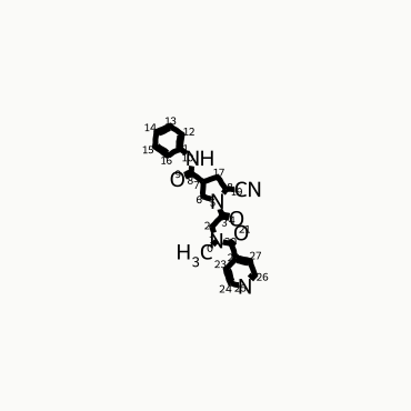 CN(CC(=O)N1CC(C(=O)Nc2ccccc2)CC1C#N)C(=O)c1ccncc1